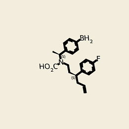 Bc1ccc([C@H](C)N(CC[C@H](CC=C)c2ccc(F)cc2)C(=O)O)cc1